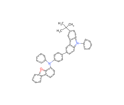 CC(C)(C)c1ccc2c(c1)c1cc(-c3ccc(N(c4ccccc4)c4cccc5c4oc4ccccc45)cc3)ccc1n2-c1ccccc1